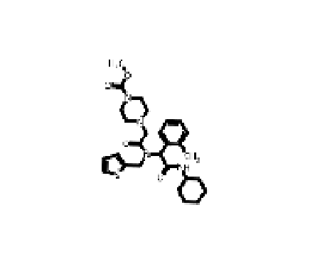 COC(=O)N1CCN(CC(=O)N(Cc2cccs2)C(C(=O)NC2CCCCC2)c2ccccc2C)CC1